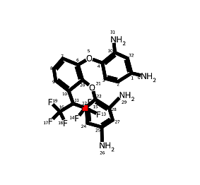 Nc1ccc(Oc2cccc(C(C(F)(F)F)C(F)(F)F)c2Oc2ccc(N)cc2N)c(N)c1